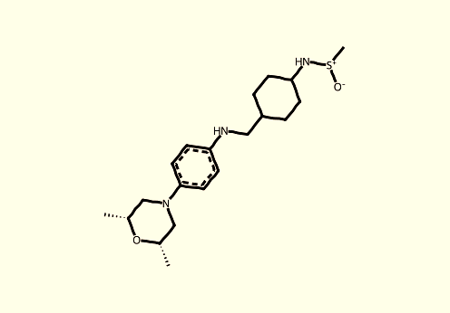 C[C@@H]1CN(c2ccc(NCC3CCC(N[S+](C)[O-])CC3)cc2)C[C@H](C)O1